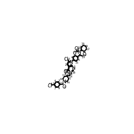 O=C(c1ccc(Cl)cc1)N1CCC(O)(Cn2cnc3c(cc(Cl)n3-c3ccc(C4COC5CCCCC5N4C(=O)O)cc3)c2=O)CC1